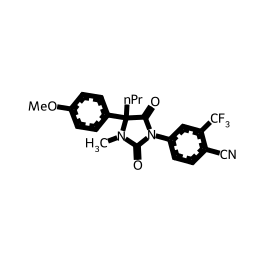 CCCC1(c2ccc(OC)cc2)C(=O)N(c2ccc(C#N)c(C(F)(F)F)c2)C(=O)N1C